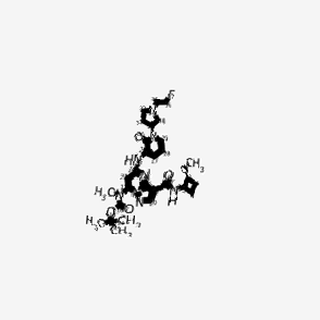 CO[C@H]1CCC1NC(=O)c1cnn2c(N(C)C(=O)OC(C)(C)C)cc(Nc3cccn([C@H]4CCN(CCF)C4)c3=O)nc12